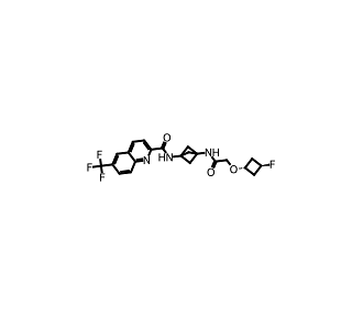 O=C(CO[C@H]1C[C@H](F)C1)NC12CC(NC(=O)c3ccc4cc(C(F)(F)F)ccc4n3)(C1)C2